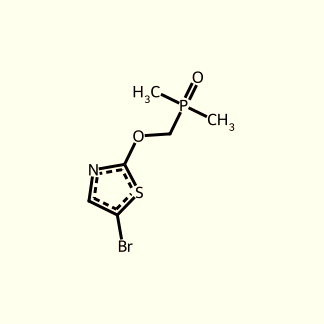 CP(C)(=O)COc1ncc(Br)s1